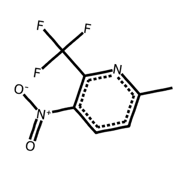 Cc1ccc([N+](=O)[O-])c(C(F)(F)F)n1